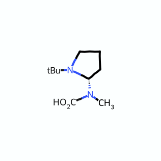 CN(C(=O)O)[C@H]1CCCN1C(C)(C)C